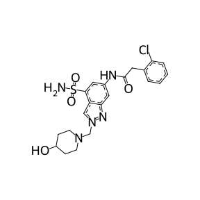 NS(=O)(=O)c1cc(NC(=O)Cc2ccccc2Cl)cc2nn(CN3CCC(O)CC3)cc12